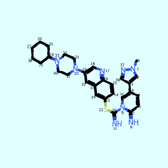 Cn1cc(-c2ccc(=N)n(C(=N)Sc3ccc4ncc(N5CCN(C6CCCCC6)CC5)cc4c3)c2)cn1